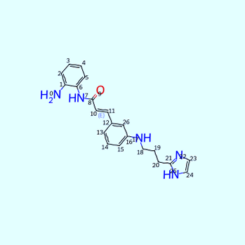 Nc1ccccc1NC(=O)/C=C/c1cccc(NCCCc2ncc[nH]2)c1